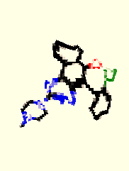 CN1CCN(C2=NC3=C(c4ccccc4Cl)C(=O)c4ccccc4C3=N2)CC1